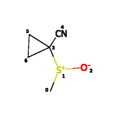 C[S+]([O-])C1(C#N)CC1